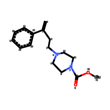 C=C(CCN1CCN(C(=O)OC(C)(C)C)CC1)c1ccccc1